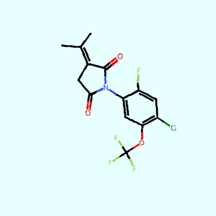 CC(C)=C1CC(=O)N(c2cc(OC(F)(F)F)c(Cl)cc2F)C1=O